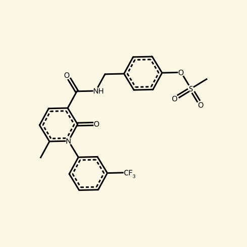 Cc1ccc(C(=O)NCc2ccc(OS(C)(=O)=O)cc2)c(=O)n1-c1cccc(C(F)(F)F)c1